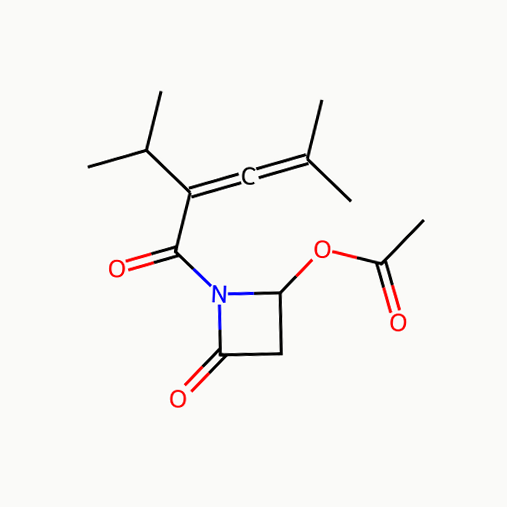 CC(=O)OC1CC(=O)N1C(=O)C(=C=C(C)C)C(C)C